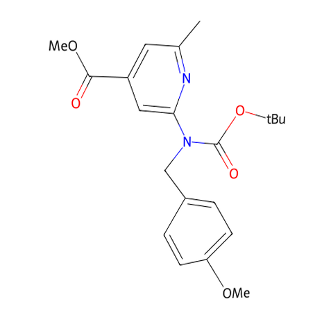 COC(=O)c1cc(C)nc(N(Cc2ccc(OC)cc2)C(=O)OC(C)(C)C)c1